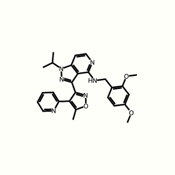 COc1ccc(CNc2nccc3c2c(-c2noc(C)c2-c2ccccn2)nn3C(C)C)c(OC)c1